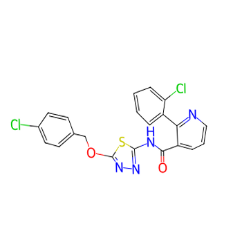 O=C(Nc1nnc(OCc2ccc(Cl)cc2)s1)c1cccnc1-c1ccccc1Cl